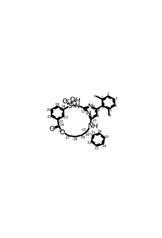 Cc1cccc(C)c1-c1cc2nc(n1)NS(=O)(=O)c1cccc(c1)C(=O)OCCC[C@@H](c1ccccc1)N2